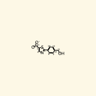 O=[N+]([O-])c1cnc(-c2ccc(CO)cc2)s1